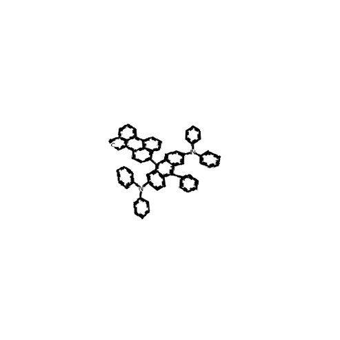 c1ccc(-c2c3cc(N(c4ccccc4)c4ccccc4)ccc3c(-c3ccc4c5cccc6cccc(c7cccc3c74)c65)c3cc(N(c4ccccc4)c4ccccc4)ccc23)cc1